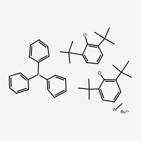 CC(C)(C)c1cccc(C(C)(C)C)c1[O-].CC(C)(C)c1cccc(C(C)(C)C)c1[O-].[CH3][Al].[Ru+2].c1ccc(P(c2ccccc2)c2ccccc2)cc1